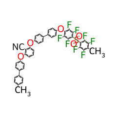 Cc1ccc(-c2ccc(Oc3cccc(Oc4ccc(-c5ccc(Oc6c(F)c(F)c(S(=O)(=O)c7c(F)c(F)c(C)c(F)c7F)c(F)c6F)cc5)cc4)c3C#N)cc2)cc1